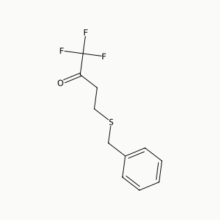 O=C(CCSCc1ccccc1)C(F)(F)F